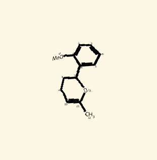 COc1ccccc1C1CCC=C(C)O1